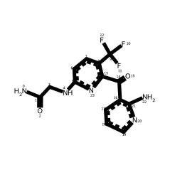 NC(=O)CNc1ccc(C(F)(F)F)c(C(=O)c2cccnc2N)n1